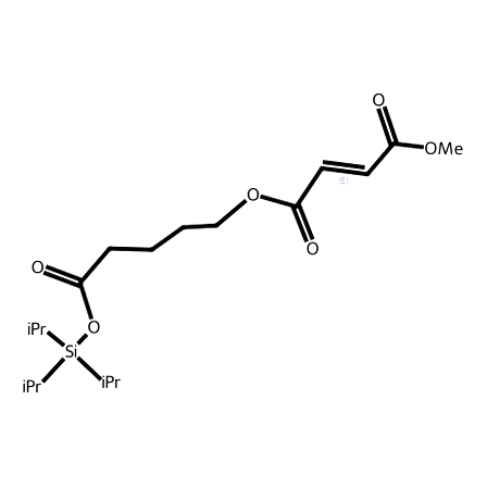 COC(=O)/C=C/C(=O)OCCCCC(=O)O[Si](C(C)C)(C(C)C)C(C)C